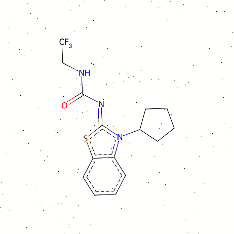 O=C(N=c1sc2ccccc2n1C1CCCC1)NCC(F)(F)F